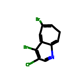 Clc1cnc2c(c1Br)=CC(Br)=CCC=2